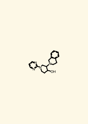 OC1CCN(c2ncccn2)CC1N1CCc2ccccc2C1